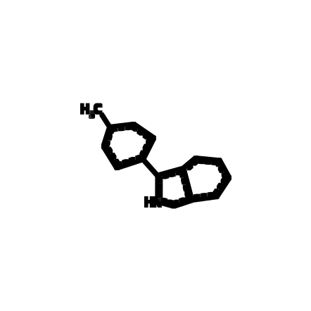 Cc1ccc(-c2[nH]cc3ccccc23)cc1